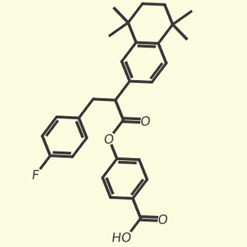 CC1(C)CCC(C)(C)c2cc(C(Cc3ccc(F)cc3)C(=O)Oc3ccc(C(=O)O)cc3)ccc21